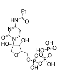 CCC(=O)Nc1ccn(C2(O)COC(COP(=O)(O)OP(=O)(O)OP(=O)(O)O)C2O)c(=O)n1